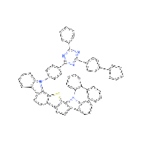 c1ccc(-c2ccc(-c3nc(-c4ccccc4)nc(-c4ccc(-n5c6ccccc6c6ccc7c8ccc9c%10ccccc%10n(-c%10ccccc%10-c%10ccccc%10)c9c8sc7c65)cc4)n3)cc2)cc1